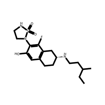 CCC(C)CCN[C@@H]1CCc2cc(O)c(N3CCNS3(=O)=O)c(F)c2C1